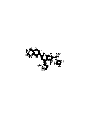 Cn1nccc1-c1cc(-c2ccc3cncnc3c2)nc2sc([S@+]([O-])C3CCC3)c(O)c12